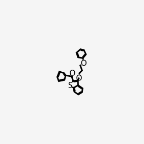 O=C(c1ccccc1)c1sc2ccccc2c1OCCCOc1ccccc1